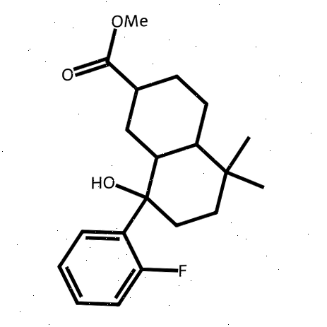 COC(=O)C1CCC2C(C1)C(O)(c1ccccc1F)CCC2(C)C